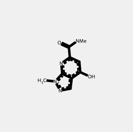 CNC(=O)c1cc(O)c2cnn(C)c2n1